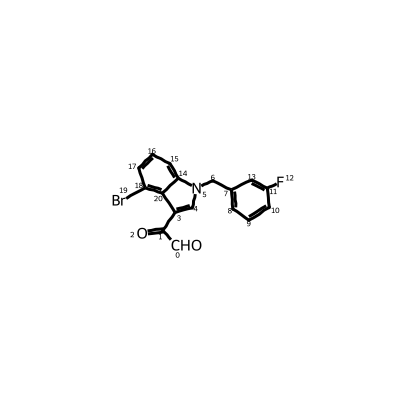 O=CC(=O)c1cn(Cc2cccc(F)c2)c2cccc(Br)c12